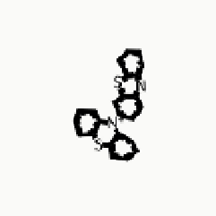 c1ccc2c(c1)Sc1ccccc1[N+]2=c1ccc2nc3ccccc3sc-2c1